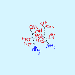 NC[C@H](O)[C@@H](O)[C@H](O)[C@H](O)CO.NC[C@H](O)[C@@H](O)[C@H](O)[C@H](O)CO